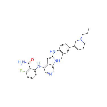 CCCN1CCC=C(c2ccc(Nc3cc4c(Nc5cccc(F)c5C(N)=O)cncc4[nH]3)c(C)c2)C1